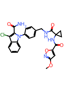 COc1cc(C(=O)NC2(C(=O)NCc3ccc(-n4c(C(N)=O)c(Cl)c5ccccc54)cc3)CC2)on1